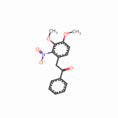 COc1ccc(CC(=O)c2ccccc2)c([N+](=O)[O-])c1OC